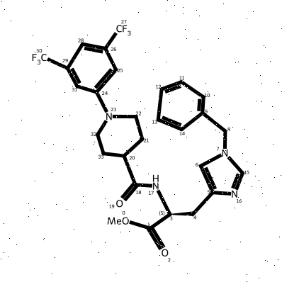 COC(=O)[C@H](Cc1cn(Cc2ccccc2)cn1)NC(=O)C1CCN(c2cc(C(F)(F)F)cc(C(F)(F)F)c2)CC1